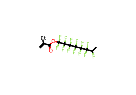 C=C(CC)C(=O)OC(F)(F)C(F)(F)C(F)(F)C(F)(F)C(F)(F)C(F)(F)C(C)F